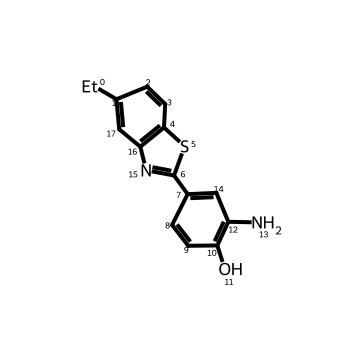 CCc1ccc2sc(-c3ccc(O)c(N)c3)nc2c1